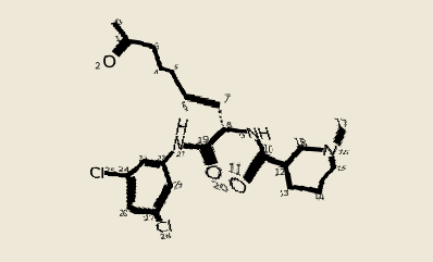 CC(=O)CCCCC[C@H](NC(=O)C1CCCN(C)C1)C(=O)Nc1cc(Cl)cc(Cl)c1